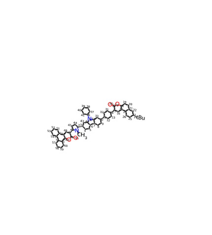 Cn1c(-c2ccc3c4ccc(-c5ccc(-c6cc7c(ccc8cc(C(C)(C)C)ccc87)oc6=O)cc5)cc4n(-c4ccccc4)c3c2)ccc1-c1cc2c3ccccc3c3ccccc3c2oc1=O